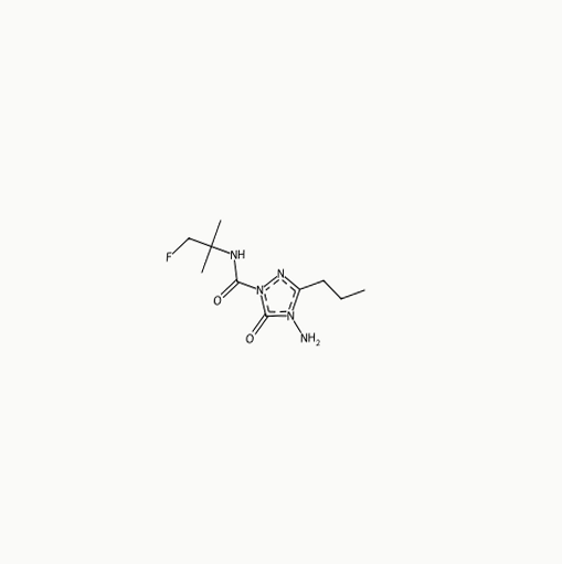 CCCc1nn(C(=O)NC(C)(C)CF)c(=O)n1N